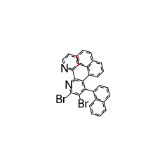 Brc1nc(-c2ccccn2)c(-c2cccc3ccccc23)c(-c2cccc3ccccc23)c1Br